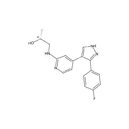 C[C@@H](O)CNc1cc(-c2c[nH]nc2-c2ccc(F)cc2)ccn1